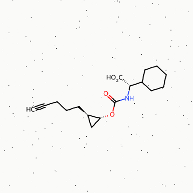 C#CCCC[C@@H]1C[C@H]1OC(=O)N[C@H](C(=O)O)C1CCCCC1